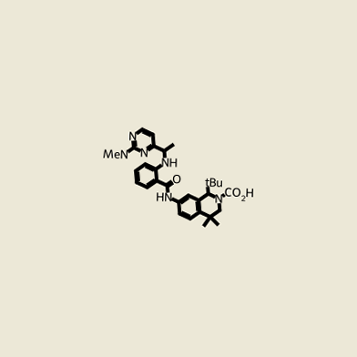 CNc1nccc(C(C)Nc2ccccc2C(=O)Nc2ccc3c(c2)C(C(C)(C)C)N(C(=O)O)CC3(C)C)n1